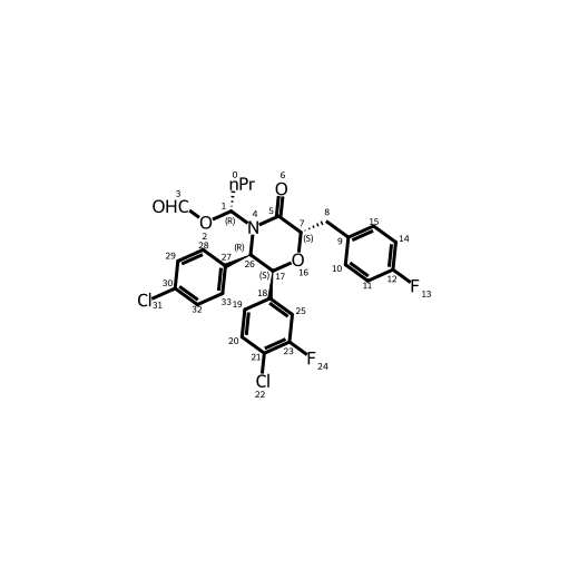 CCC[C@@H](OC=O)N1C(=O)[C@H](Cc2ccc(F)cc2)O[C@@H](c2ccc(Cl)c(F)c2)[C@H]1c1ccc(Cl)cc1